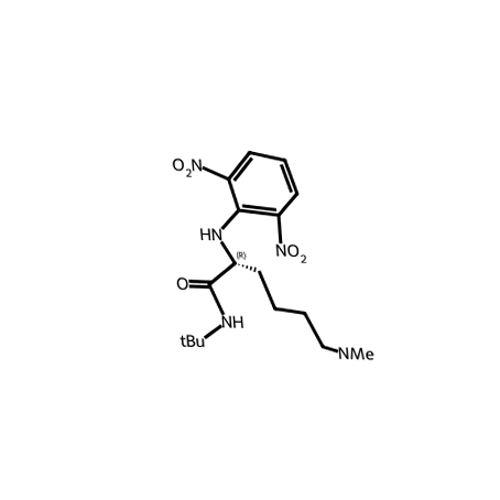 CNCCCC[C@@H](Nc1c([N+](=O)[O-])cccc1[N+](=O)[O-])C(=O)NC(C)(C)C